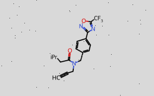 C#CCN(Cc1ccc(-c2noc(C(F)(F)F)n2)cc1)C(=O)CC(C)C